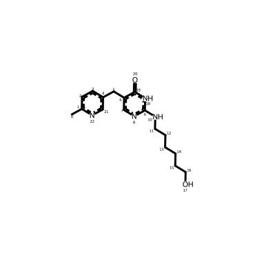 Cc1ccc(Cc2cnc(NCCCCCCO)[nH]c2=O)cn1